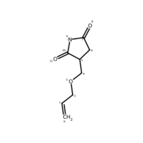 C=CCOCC1CC(=O)[N]C1=O